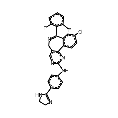 Fc1cccc(F)c1C1=NCc2cnc(Nc3ccc(C4=NCCN4)cc3)nc2-c2ccc(Cl)cc21